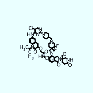 CNC(=O)COc1cc2cc(Nc3nc(N4CCC(CN5CCC6(CN(c7cccc8c7CN(C7(C=O)CCC(=O)NC7)C8=O)C6)C(F)(F)C5)CC4)ncc3Cl)ccc2n(C(C)C)c1=O